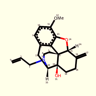 C=CCN1CC[C@@]23c4c5ccc(OC)c4O[C@@H]2C(=C)CC[C@]3(O)[C@@H]1C5